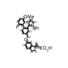 COc1ccc(F)c(-c2ccc(COc3ccc4c(c3)[C@]3(CC4)C[C@H]3C(=O)O)cc2-c2nncn2C(C)C)c1